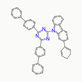 C1=CC(c2ccc3c4ccccc4n(-c4nc(-c5ccc(-c6ccccc6)cc5)nc(-c5ccc(-c6ccccc6)cc5)n4)c3c2)=CCC1